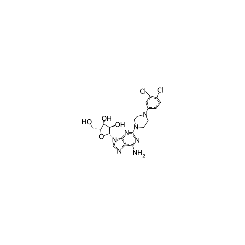 Nc1nc(N2CCN(c3ccc(Cl)c(Cl)c3)CC2)nc2c1ncn2[C@@H]1O[C@H](CO)[C@@H](O)[C@H]1O